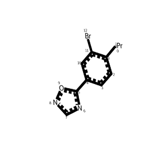 CC(C)c1ccc(-c2n[c]no2)cc1Br